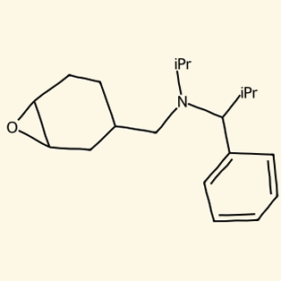 CC(C)C(c1ccccc1)N(CC1CCC2OC2C1)C(C)C